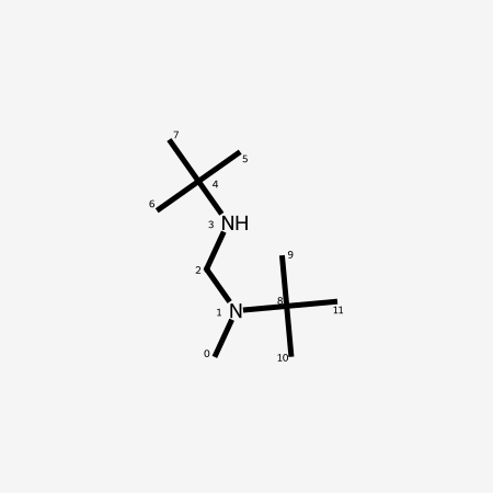 CN(CNC(C)(C)C)C(C)(C)C